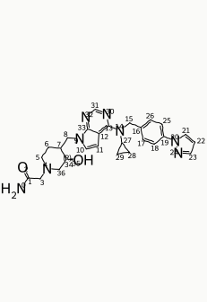 NC(=O)CN1CCC(Cn2ccc3c(N(Cc4ccc(-n5cccn5)cc4)C4CC4)ncnc32)[C@@H](O)C1